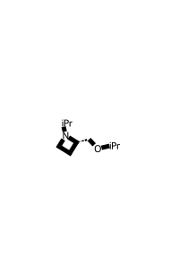 CC(C)OC[C@@H]1CCN1C(C)C